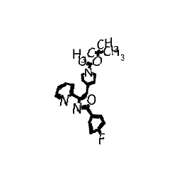 CC(C)(C)OC(=O)N1CC=C(c2oc(-c3ccc(F)cc3)nc2-c2ccccn2)CC1